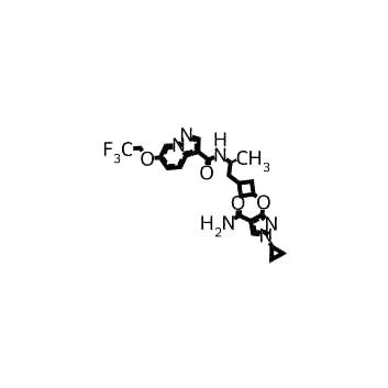 C[C@@H](CC1CC(Oc2nn(C3CC3)cc2C(N)=O)C1)NC(=O)c1cnn2cc(OCC(F)(F)F)ccc12